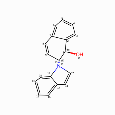 O[C@@H]1c2ccccc2C=C[C@H]1n1ccc2ccccc21